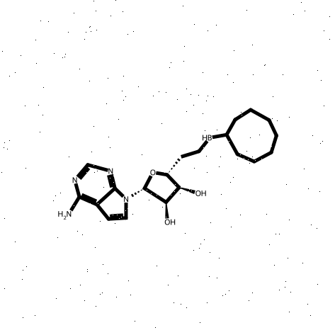 Nc1ncnc2c1ccn2[C@@H]1O[C@H](CCBC2CCCCCCC2)[C@@H](O)[C@H]1O